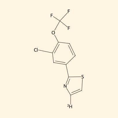 [2H]c1csc(-c2ccc(OC(F)(F)F)c(Cl)c2)n1